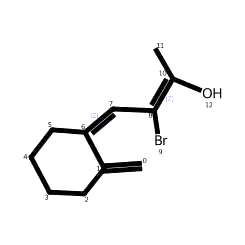 C=C1CCCC/C1=C/C(Br)=C(\C)O